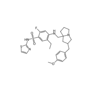 CCc1cc(S(=O)(=O)Nc2nccs2)c(F)cc1NCC12CCCN1CC(Cc1ccc(OC)cc1)C2